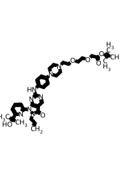 C=CCn1c(=O)c2cnc(Nc3ccc(N4CCN(CCOCCOCC(=O)OC(C)(C)C)CC4)cc3)nc2n1-c1cccc(C(C)(C)O)n1